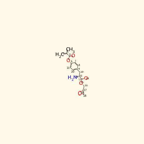 C=C(C)C(=O)Oc1ccc(C[C@H](N)C(=O)OCC2CO2)cc1